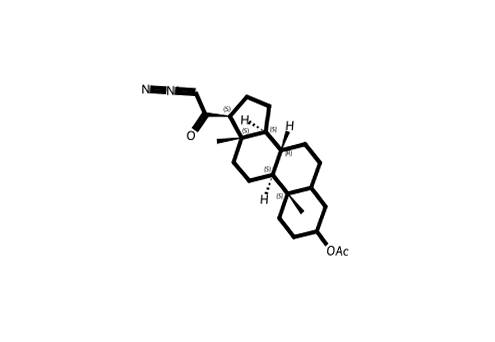 CC(=O)OC1CC[C@@]2(C)C(CC[C@H]3[C@@H]4CC[C@H](C(=O)C=[N+]=[N-])[C@@]4(C)CC[C@@H]32)C1